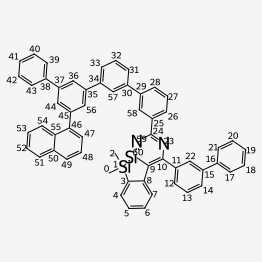 C[Si]1(C)c2ccccc2-c2c(-c3cccc(-c4ccccc4)c3)nc(-c3cccc(-c4cccc(-c5cc(-c6ccccc6)cc(-c6cccc7ccccc67)c5)c4)c3)n[si]21